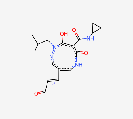 CC(C)Cn1ncc(/C=C/C=O)c[nH]c(=O)c(C(=O)NC2CC2)c1O